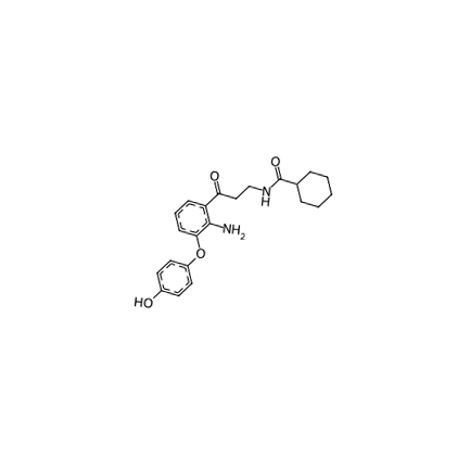 Nc1c(Oc2ccc(O)cc2)cccc1C(=O)CCNC(=O)C1CCCCC1